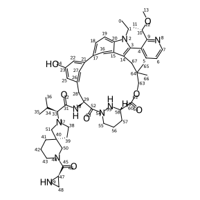 CCn1c(-c2cccnc2[C@H](C)OC)c2c3cc(ccc31)-c1cc(O)cc(c1)C[C@H](NC(=O)[C@H](C(C)C)N1CC[C@]3(CCCN(C(=O)[C@H]4CN4)C3)C1)C(=O)N1CCC[C@H](N1)C(=O)OCC(C)(C)C2